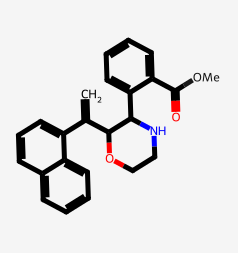 C=C(c1cccc2ccccc12)C1OCCNC1c1ccccc1C(=O)OC